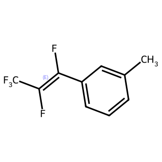 Cc1cccc(/C(F)=C(\F)C(F)(F)F)c1